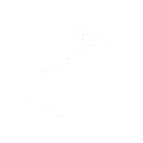 CCCCC/C=C\C/C=C\CCCCCCCCOOC(=O)C(Cc1ccccc1)CN(C)C